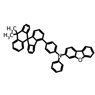 CC1(C)c2ccccc2C2(c3ccccc3-c3c(-c4ccc(N(c5ccccc5)c5ccc6c(c5)oc5ccccc56)cc4)cccc32)c2ccccc21